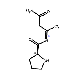 N#C/C(CC(N)=O)=N/C(=O)[C@@H]1CCCN1